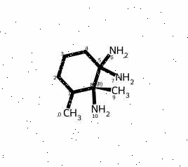 CC1CCCC(N)(N)[C@]1(C)N